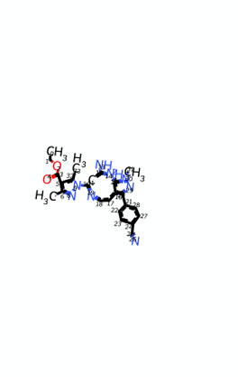 CCOC(=O)c1c(C)nn(-c2cc(N)[nH]c3c(ccn2)c(-c2ccc(C#N)cc2)nn3C)c1C